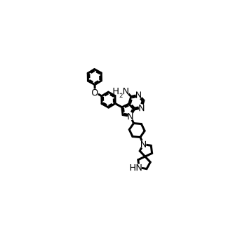 Nc1ncnc2c1c(-c1ccc(Oc3ccccc3)cc1)cn2C1CCC(N2CCC3(CCNC3)C2)CC1